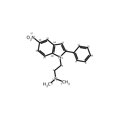 CN(C)CCn1c(-c2ccccc2)cc2cc([N+](=O)[O-])ccc21